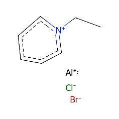 CC[n+]1ccccc1.[Al+].[Br-].[Cl-]